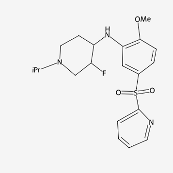 COc1ccc(S(=O)(=O)c2ccccn2)cc1NC1CCN(C(C)C)CC1F